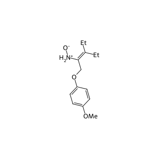 CCC(CC)=C(COc1ccc(OC)cc1)[NH2+][O-]